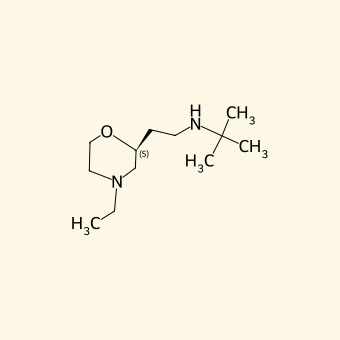 CCN1CCO[C@@H](CCNC(C)(C)C)C1